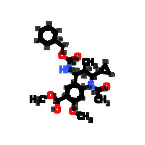 COC(=O)c1cc2c(cc1OC)N(C(C)=O)C(C1CC1)[C@H](C)C2NC(=O)OCc1ccccc1